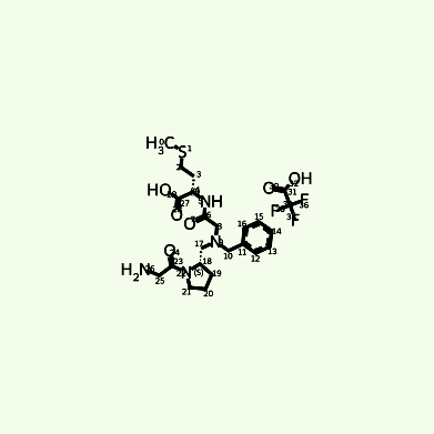 CSCC[C@H](NC(=O)CN(Cc1ccccc1)C[C@@H]1CCCN1C(=O)CN)C(=O)O.O=C(O)C(F)(F)F